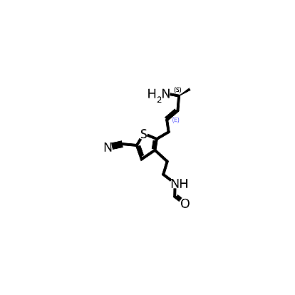 C[C@H](N)/C=C/Cc1sc(C#N)cc1CCNC=O